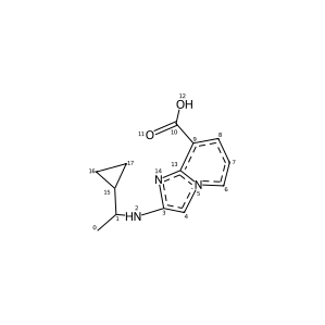 CC(Nc1cn2cccc(C(=O)O)c2n1)C1CC1